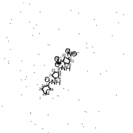 O=C(Nc1ccc(CNc2ccc([N+](=O)[O-])cc2[N+](=O)[O-])cc1)c1ccccc1